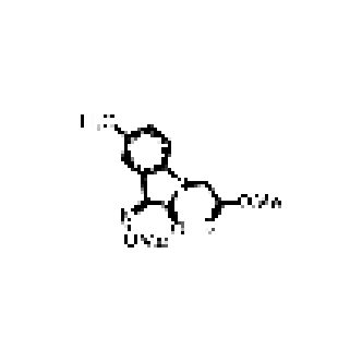 CON=C1C(=O)N(CC(=O)OC)c2ccc(C)cc21